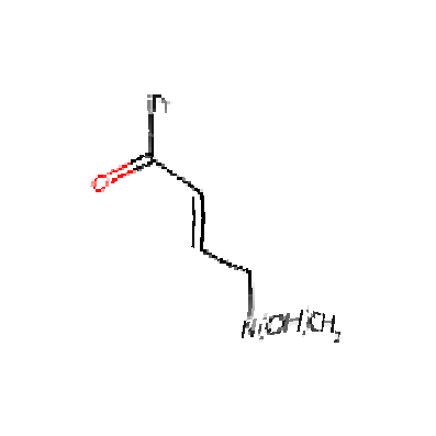 CC(C)C(=O)/C=C/CN(C)O